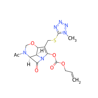 C=CCOC(=O)OC1=C(CSc2nnnn2C)C2OCN(C(C)=O)[C@@H]3C(=O)N1[C@H]23